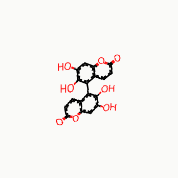 O=c1ccc2c(-c3c(O)c(O)cc4oc(=O)ccc34)c(O)c(O)cc2o1